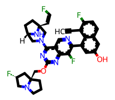 C#Cc1c(F)ccc2cc(O)cc(-c3ncc4c(N5C[C@@H]6CC[C@](/C=C\F)(C5)N6)nc(OC[C@@]56CCCN5C[C@H](F)C6)nc4c3F)c12